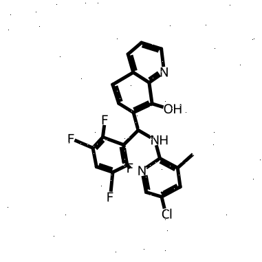 Cc1cc(Cl)cnc1NC(c1ccc2cccnc2c1O)c1c(F)c(F)cc(F)c1F